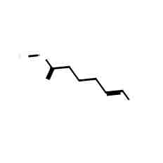 CC=CCCCC(=O)OC(C)C